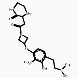 O=C(O)c1c(OC2CN(C(=O)CC3NCCNC3=O)C2)ccc(CCB(O)O)c1O